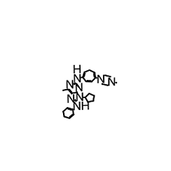 Cc1nc(NC2=CCC=C(N3CCN(C)CC3)C=C2)nc2c1nc(NC1=CCCC=C1)n2C1CCCC1